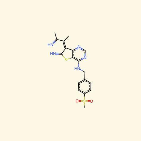 CC(=N)/C(C)=C1\C(=N)Sc2c(NCc3ccc(S(C)(=O)=O)cc3)ncnc21